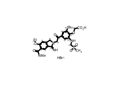 Br.CCOc1cc2c(cc1C(=O)NC)C(=N)N(CC(=O)c1cc(NCS(C)(=O)=O)c(OCC(=O)O)c(C(C)(C)C)c1)C2